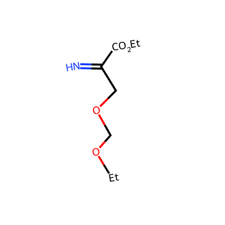 CCOCOCC(=N)C(=O)OCC